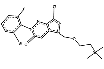 C[Si](C)(C)CCOCn1nc(Cl)c2nn(-c3c(F)cccc3Br)c(=O)cc21